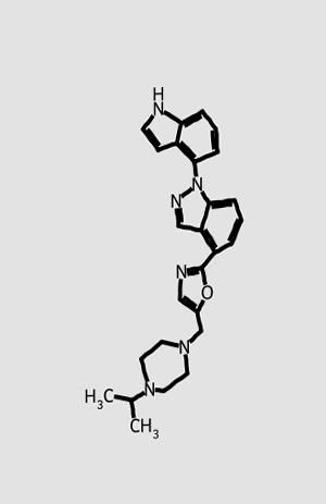 CC(C)N1CCN(Cc2cnc(-c3cccc4c3cnn4-c3cccc4[nH]ccc34)o2)CC1